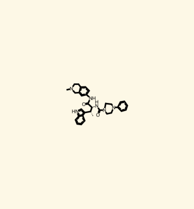 C[C@H](c1c[nH]c2ccccc12)[C@@H](NC(=O)N1CCN(c2ccccc2)CC1)C(=O)Nc1ccc2c(c1)CN(C)CC2